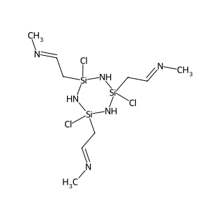 CN=CC[Si]1(Cl)N[Si](Cl)(CC=NC)N[Si](Cl)(CC=NC)N1